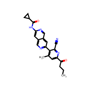 CCCC(=O)c1cc(C)c(-c2cc3cnc(NC(=O)C4CC4)cc3cn2)c(C#N)n1